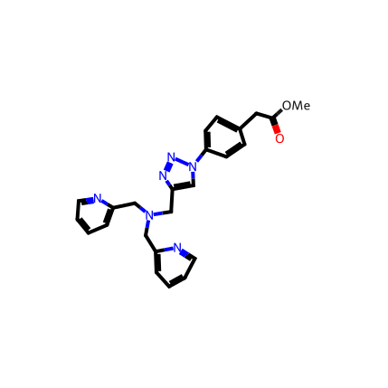 COC(=O)Cc1ccc(-n2cc(CN(Cc3ccccn3)Cc3ccccn3)nn2)cc1